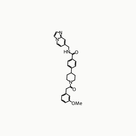 COc1cccc(CC(=O)N2CCC(c3ccc(C(=O)NCc4ccn5ccnc5c4)cc3)CC2)c1